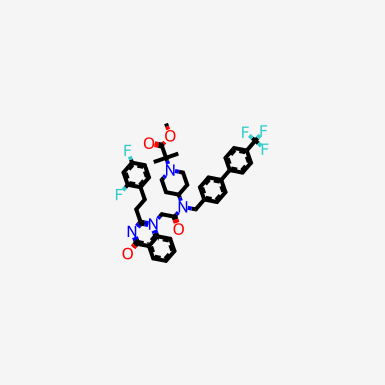 COC(=O)C(C)(C)N1CCC(N(Cc2ccc(-c3ccc(C(F)(F)F)cc3)cc2)C(=O)Cn2c(CCc3ccc(F)cc3F)nc(=O)c3ccccc32)CC1